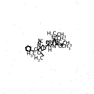 C=CC[C@H]1CN(C(=O)N/C(=N/C(=O)OC(C)(C)C)NC(=O)OC(C)(C)C)CC1(N=[N+]=[N-])C(=O)O[C@H](C)c1ccccc1